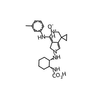 Cc1cccc(NC2=C3CN(N[C@@H]4CCCC[C@@H]4NC(=O)O)C=C3C3(CC3)C[NH+]2[O-])c1